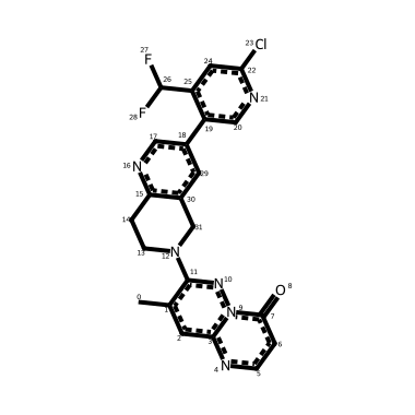 Cc1cc2nccc(=O)n2nc1N1CCc2ncc(-c3cnc(Cl)cc3C(F)F)cc2C1